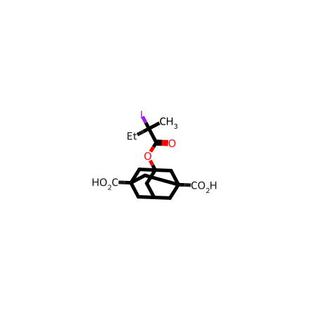 CCC(C)(I)C(=O)OC12CC3CC(C(=O)O)(C1)CC(C(=O)O)(C3)C2